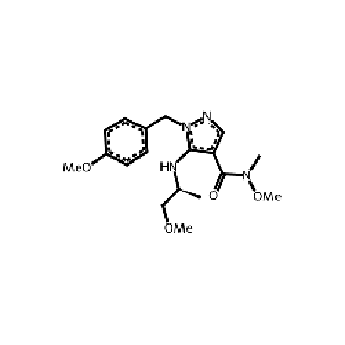 COC[C@H](C)Nc1c(C(=O)N(C)OC)cnn1Cc1ccc(OC)cc1